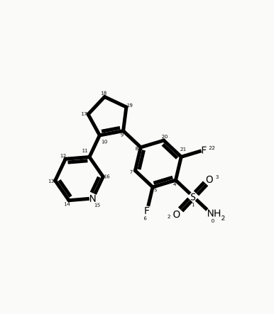 NS(=O)(=O)c1c(F)cc(C2=C(c3cccnc3)CCC2)cc1F